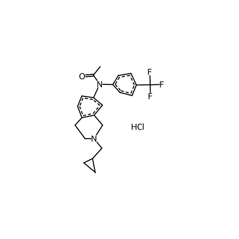 CC(=O)N(c1ccc(C(F)(F)F)cc1)c1ccc2c(c1)CN(CC1CC1)CC2.Cl